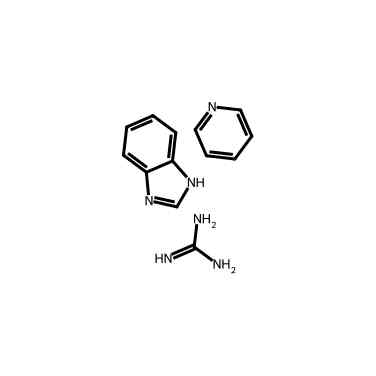 N=C(N)N.c1ccc2[nH]cnc2c1.c1ccncc1